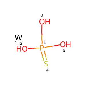 OP(O)(O)=S.[W]